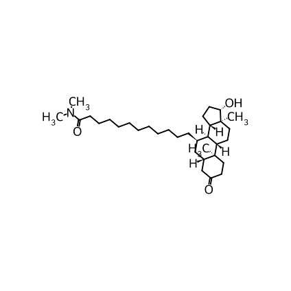 CN(C)C(=O)CCCCCCCCCCC[C@@H]1C[C@H]2CC(=O)CC[C@]2(C)[C@H]2CC[C@]3(C)[C@@H](O)CC[C@H]3[C@H]12